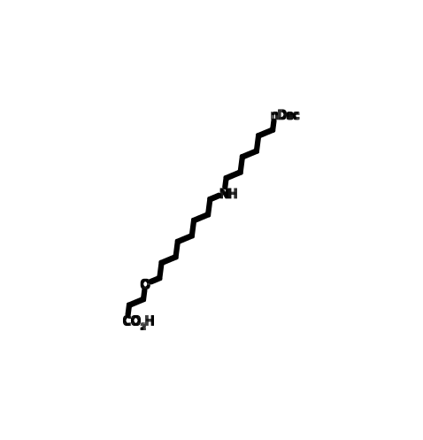 CCCCCCCCCCCCCCCCNCCCCCCCCOCCC(=O)O